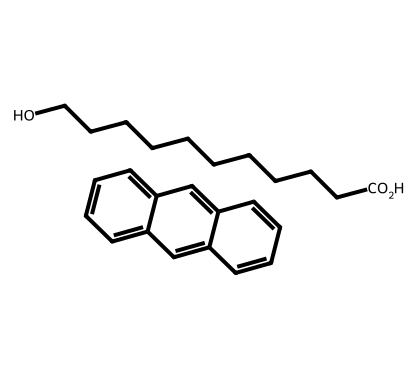 O=C(O)CCCCCCCCCCO.c1ccc2cc3ccccc3cc2c1